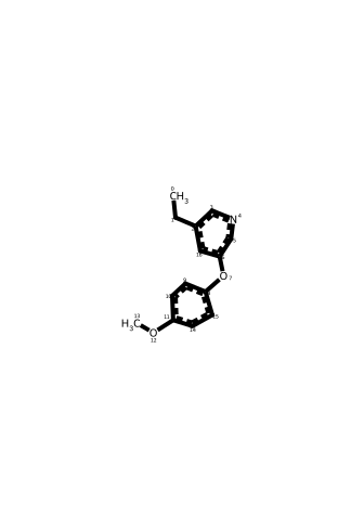 CCc1cncc(Oc2ccc(OC)cc2)c1